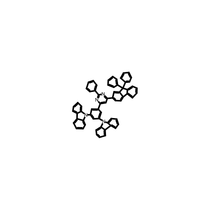 c1ccc(-c2nc(-c3cc(-n4c5ccccc5c5ccccc54)cc(-n4c5ccccc5c5ccccc54)c3)cc(-c3ccc4c(c3)C(c3ccccc3)(c3ccccc3)c3ccccc3-4)n2)cc1